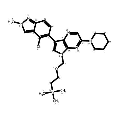 Cn1cc2c(Cl)c(-c3cn(COCCS(C)(C)C)c4nc(N5CCCCC5)cnc34)ccc2n1